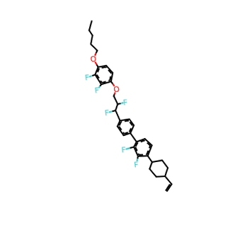 C=CC1CCC(c2ccc(-c3ccc(C(F)C(F)COc4ccc(OCCCCC)c(F)c4F)cc3)c(F)c2F)CC1